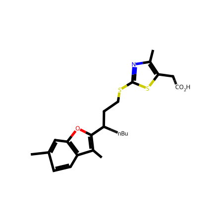 CCCCC(CCSc1nc(C)c(CC(=O)O)s1)c1oc2cc(C)ccc2c1C